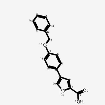 O=C(O)c1cc(-c2ccc(OCc3ccccc3)cc2)co1